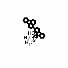 CCOCC1(C(O)CC)c2ccccc2-c2ccc(-c3ccc4c5c(cccc35)-c3ccccc3-4)cc21